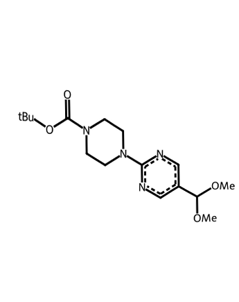 COC(OC)c1cnc(N2CCN(C(=O)OC(C)(C)C)CC2)nc1